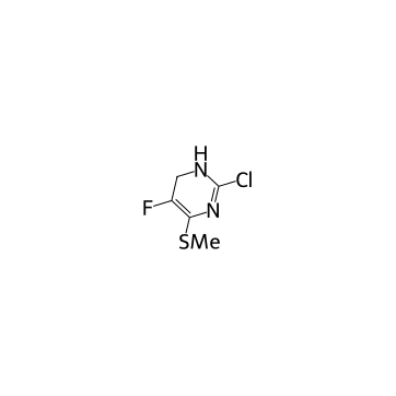 CSC1=C(F)CNC(Cl)=N1